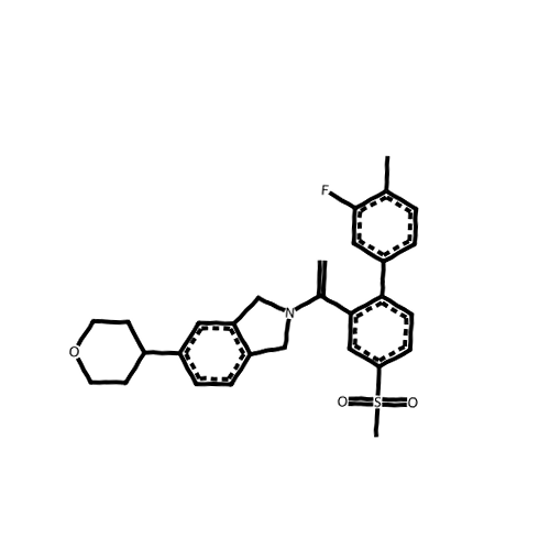 C=C(c1cc(S(C)(=O)=O)ccc1-c1ccc(C)c(F)c1)N1Cc2ccc(C3CCOCC3)cc2C1